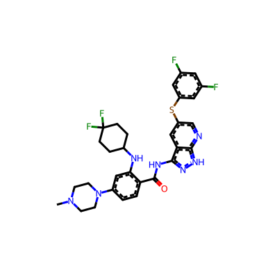 CN1CCN(c2ccc(C(=O)Nc3n[nH]c4ncc(Sc5cc(F)cc(F)c5)cc34)c(NC3CCC(F)(F)CC3)c2)CC1